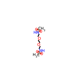 CS(=O)(=O)NCCOCCOCCNS(C)(=O)=O